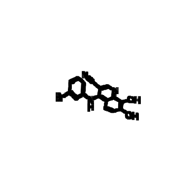 N#Cc1cnc2c(O)c(O)ccc2c1Nc1cccc(Br)c1